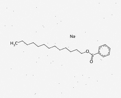 CCCCCCCCCCCCCOS(=O)c1ccccc1.[Na]